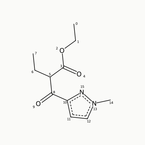 CCOC(=O)C(CC)C(=O)c1ccn(C)n1